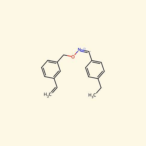 C=Cc1cccc(CO/N=[C]\c2ccc(CC)cc2)c1